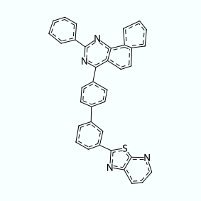 c1ccc(-c2nc(-c3ccc(-c4cccc(-c5nc6cccnc6s5)c4)cc3)c3ccc4ccccc4c3n2)cc1